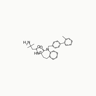 Cc1ccccc1-c1ccc(CN2C(=O)[C@H](NC(=O)CC(C)(C)N)CCc3ccccc32)cc1